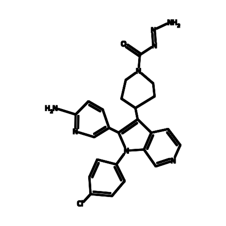 NN=NC(=O)N1CCC(c2c(-c3ccc(N)nc3)n(-c3ccc(Cl)cc3)c3cnccc23)CC1